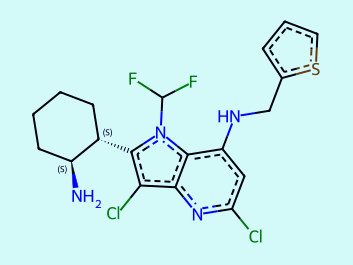 N[C@H]1CCCC[C@@H]1c1c(Cl)c2nc(Cl)cc(NCc3cccs3)c2n1C(F)F